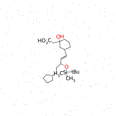 CC(C)(C)[Si](C)(C)OC(/C=C/C1CCCC(O)(CC(=O)O)C1)CCC1CCCC1